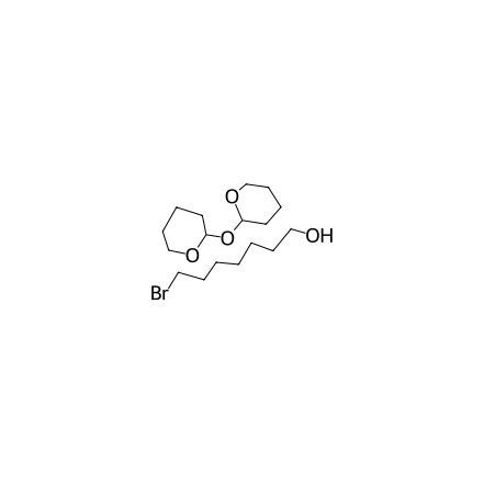 C1CCC(OC2CCCCO2)OC1.OCCCCCCCBr